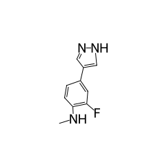 CNc1ccc(-c2cn[nH]c2)cc1F